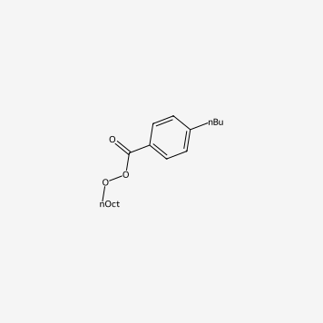 [CH2]CCCCCCCOOC(=O)c1ccc(CCCC)cc1